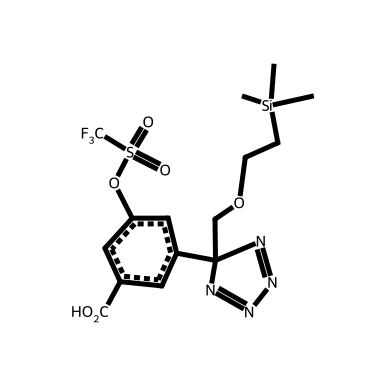 C[Si](C)(C)CCOCC1(c2cc(OS(=O)(=O)C(F)(F)F)cc(C(=O)O)c2)N=NN=N1